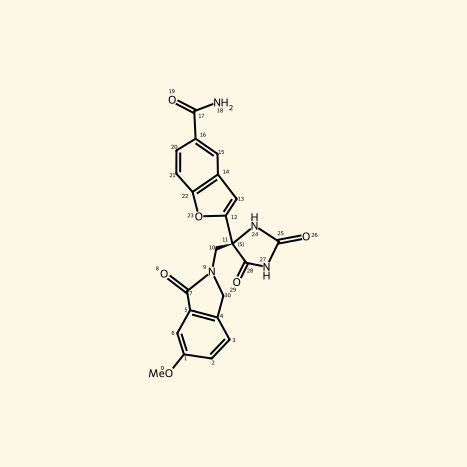 COc1ccc2c(c1)C(=O)N(C[C@@]1(c3cc4cc(C(N)=O)ccc4o3)NC(=O)NC1=O)C2